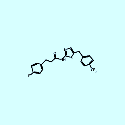 O=C(CCc1ccc(F)cc1)Nc1ncc(Cc2ccc(C(F)(F)F)cc2)s1